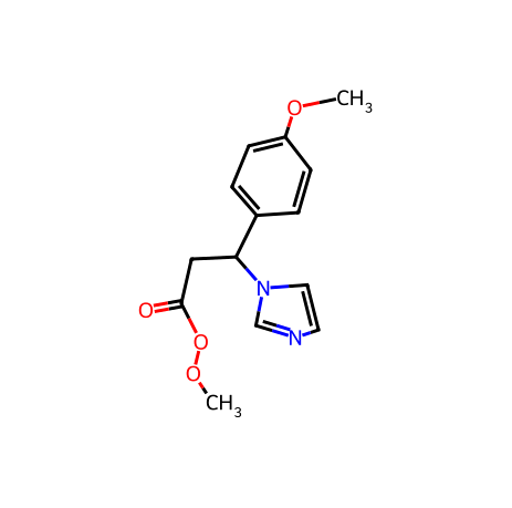 COOC(=O)CC(c1ccc(OC)cc1)n1ccnc1